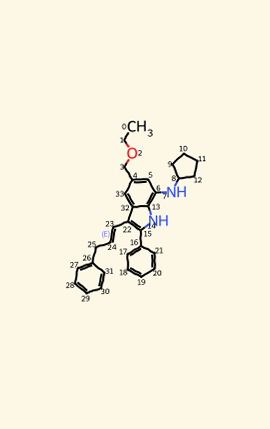 CCOCc1cc(NC2CCCC2)c2[nH]c(-c3ccccc3)c(/C=C/Cc3ccccc3)c2c1